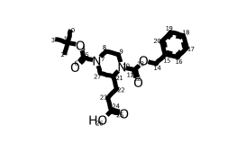 CC(C)(C)OC(=O)N1CCN(C(=O)OCc2ccccc2)C(CCC(=O)O)C1